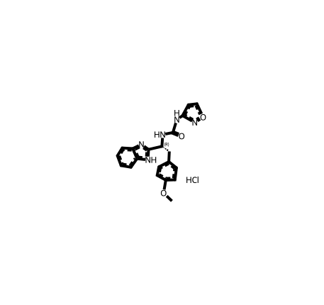 COc1ccc(C[C@@H](NC(=O)Nc2ccon2)c2nc3ccccc3[nH]2)cc1.Cl